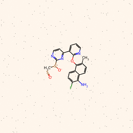 Cc1ccc2c(N)c(F)ccc2c1Oc1ncccc1-c1ccnc([S+](C)[O-])n1.O=S